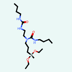 CCCCNC(=O)NCCN(CCC[Si](C)(OCC)OCC)C(=O)NCCCC